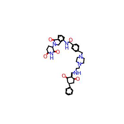 O=C1CCC(N2Cc3c(NC(=O)c4ccc(CN5CCN(CCNC=C6C(=O)CC(c7ccccc7)CC6=O)CC5)cc4)cccc3C2=O)C(=O)N1